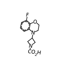 O=C(O)N1CC(N2CCOc3c(F)cccc32)C1